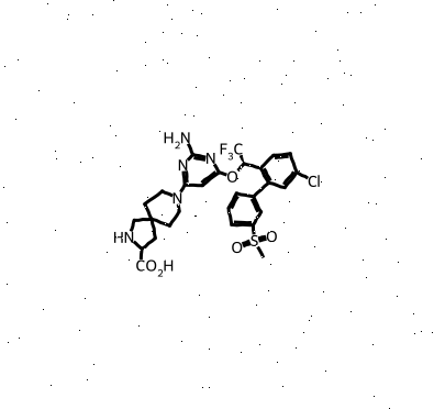 CS(=O)(=O)c1cccc(-c2cc(Cl)ccc2[C@@H](Oc2cc(N3CCC4(CC3)CNC(C(=O)O)C4)nc(N)n2)C(F)(F)F)c1